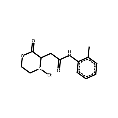 CCN1CCOC(=O)C1CC(=O)Nc1ccccc1C